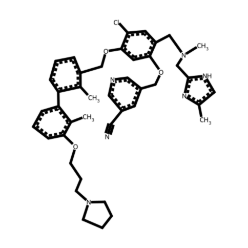 Cc1c[nH]c(CN(C)Cc2cc(Cl)c(OCc3cccc(-c4cccc(OCCCN5CCCC5)c4C)c3C)cc2OCc2cncc(C#N)c2)n1